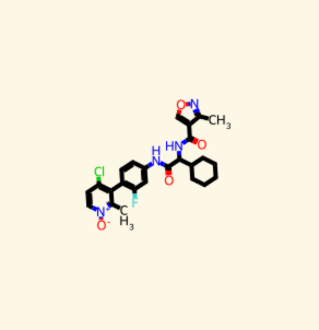 Cc1nocc1C(=O)NC(C(=O)Nc1ccc(-c2c(Cl)cc[n+]([O-])c2C)c(F)c1)C1CCCCC1